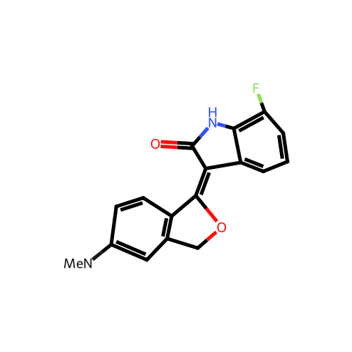 CNc1ccc2c(c1)COC2=C1C(=O)Nc2c(F)cccc21